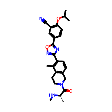 CN[C@@H](C)C(=O)N1CCc2c(ccc(-c3noc(-c4ccc(OC(C)C)c(C#N)c4)n3)c2C)C1